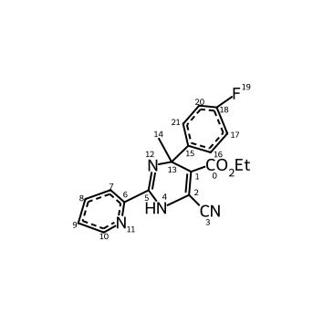 CCOC(=O)C1=C(C#N)NC(c2ccccn2)=NC1(C)c1ccc(F)cc1